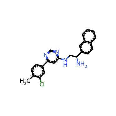 Cc1ccc(-c2cc(NC[C@H](N)c3ccc4ccccc4c3)ncn2)cc1Cl